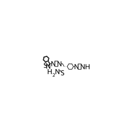 NC=S.c1ccc2c(N3CCN(CC[C@H]4CC[C@H](N5CCNCC5)CC4)CC3)nsc2c1